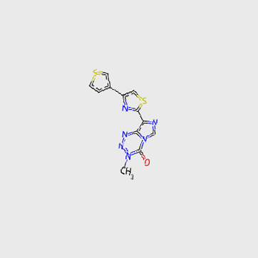 Cn1nnc2c(-c3nc(-c4ccsc4)cs3)ncn2c1=O